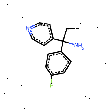 CCC(N)(c1ccncc1)c1ccc(F)cc1